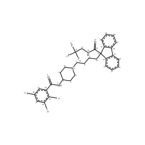 O=C(NC1CCN(CCCCC2(C(=O)NCC(F)(F)F)c3ccccc3-c3ccccc32)CC1)c1cc(I)cc(I)c1I